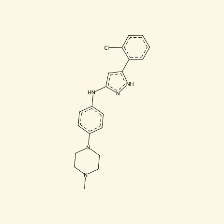 CN1CCN(c2ccc(Nc3cc(-c4ccccc4Cl)[nH]n3)cc2)CC1